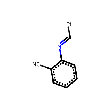 CC/C=N/c1ccccc1C#N